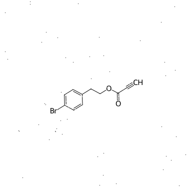 C#CC(=O)OCCc1ccc(Br)cc1